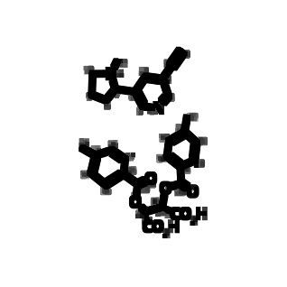 C#Cc1cncc(C2CCCN2C)c1.Cc1ccc(C(=O)O[C@@H](C(=O)O)[C@@H](OC(=O)c2ccc(C)cc2)C(=O)O)cc1